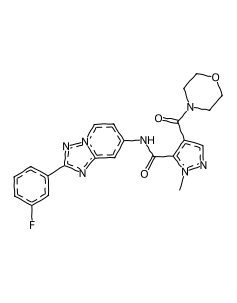 Cn1ncc(C(=O)N2CCOCC2)c1C(=O)Nc1ccn2nc(-c3cccc(F)c3)nc2c1